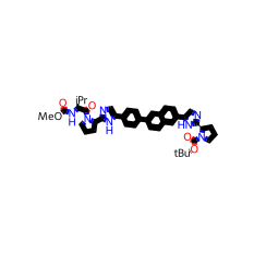 COC(=O)N[C@H](C(=O)N1CCCC1c1ncc(-c2ccc(-c3ccc4cc(C5CN=C([C@@H]6CCCN6C(=O)OC(C)(C)C)N5)ccc4c3)cc2)[nH]1)C(C)C